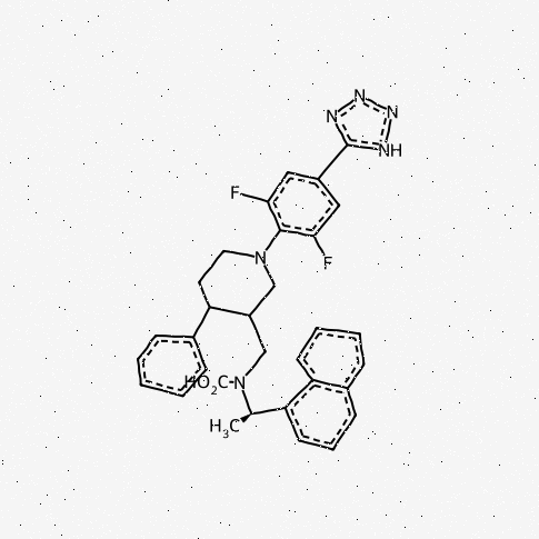 C[C@H](c1cccc2ccccc12)N(CC1CN(c2c(F)cc(-c3nnn[nH]3)cc2F)CCC1c1ccccc1)C(=O)O